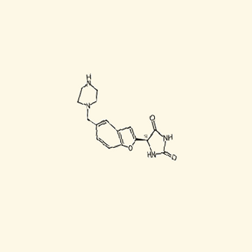 O=C1NC(=O)[C@H](c2cc3cc(CN4CCNCC4)ccc3o2)N1